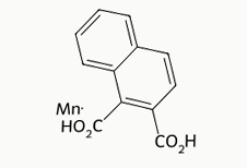 O=C(O)c1ccc2ccccc2c1C(=O)O.[Mn]